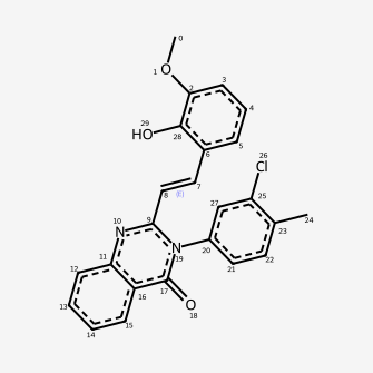 COc1cccc(/C=C/c2nc3ccccc3c(=O)n2-c2ccc(C)c(Cl)c2)c1O